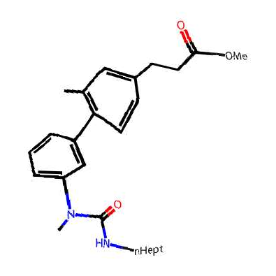 CCCCCCCNC(=O)N(C)c1cccc(-c2ccc(CCC(=O)OC)cc2C)c1